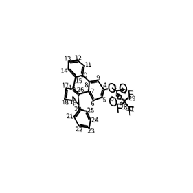 O=S(=O)(Oc1ccc2c(c1)c1ccccc1c1ccn(-c3ccccc3)c12)C(F)(F)F